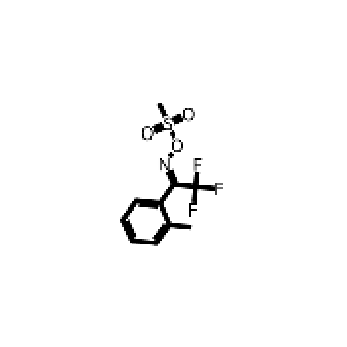 Cc1ccccc1/C(=N/OS(C)(=O)=O)C(F)(F)F